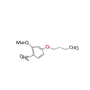 COc1cc(OCCCC=O)ccc1C=O